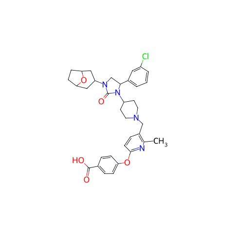 Cc1nc(Oc2ccc(C(=O)O)cc2)ccc1CN1CCC(N2C(=O)N(C3CC4CCC(C3)O4)CC2c2cccc(Cl)c2)CC1